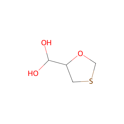 OC(O)C1CSCO1